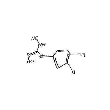 CC(C)(C)/N=C(/NC#N)Nc1ccc(C#N)c(Cl)c1